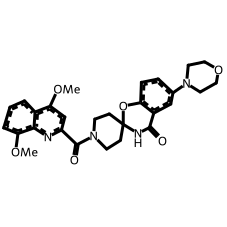 COc1cc(C(=O)N2CCC3(CC2)NC(=O)c2cc(N4CCOCC4)ccc2O3)nc2c(OC)cccc12